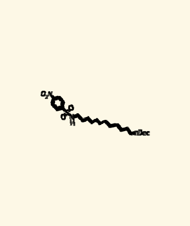 CCCCCCCCCCCCCCCCCCCCCCNS(=O)(=O)c1ccc([N+](=O)[O-])cc1